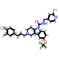 O=C(NCc1ccnc(F)c1)n1c2c(c3cc(OC(F)(F)F)ccc31)CN(C/C=C/c1ccc(Cl)c(F)c1)CC2